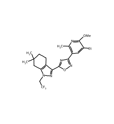 CCc1cc(-c2noc(-c3nn(CC(F)(F)F)c4c3CCC(C)(C)C4)n2)c(C)nc1OC